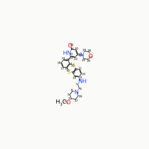 COC1CCN(CCNc2ccc3c(c2)Sc2cccc(-c4cc(N5CCOCC5)cc(=O)[nH]4)c2S3)CC1